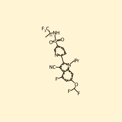 CC(C)n1c(-c2ccc(S(=O)(=O)N[C@@H](C)C(F)(F)F)cn2)c(C#N)c2c(F)cc(OC(F)F)cc21